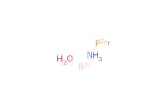 N.O.[B+3].[P+3]